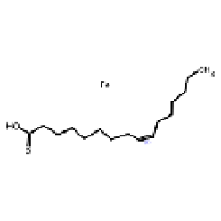 CCCCCC/C=C\CCCCCCCC(=O)O.[Fe]